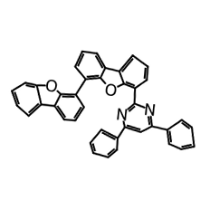 c1ccc(-c2cc(-c3ccccc3)nc(-c3cccc4c3oc3c(-c5cccc6c5oc5ccccc56)cccc34)n2)cc1